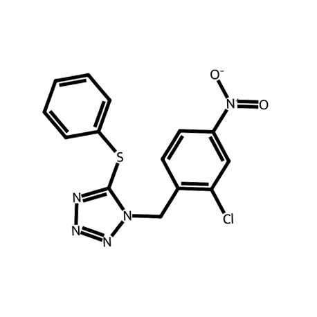 O=[N+]([O-])c1ccc(Cn2nnnc2Sc2ccccc2)c(Cl)c1